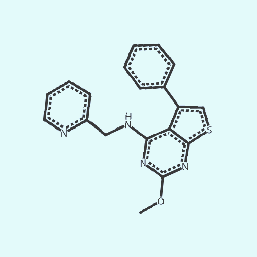 COc1nc(NCc2ccccn2)c2c(-c3ccccc3)csc2n1